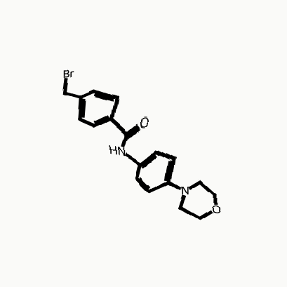 O=C(Nc1ccc(N2CCOCC2)cc1)c1ccc(CBr)cc1